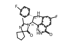 CC1=NC2(CCCC2)C(=O)N1[C@@H]1c2n[nH]c(=O)c3cc(F)cc(c23)N[C@H]1c1ccc(F)cc1